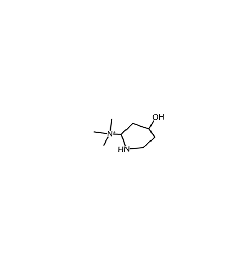 C[N+](C)(C)C1CC(O)CCN1